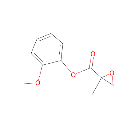 COc1ccccc1OC(=O)C1(C)CO1